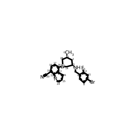 C[C@H]1C[C@@H](NCc2ccc(Br)cc2F)CN(c2ccc(C#N)c3ncccc23)C1